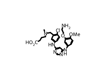 COc1ccc(Nc2cc(Nc3ccc(Cl)c(CN(C)CCCC(=O)O)c3)ncn2)cc1OCCN